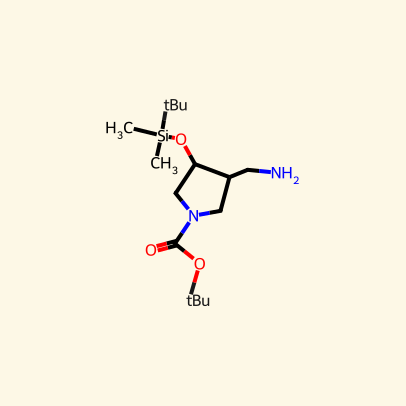 CC(C)(C)OC(=O)N1CC(CN)C(O[Si](C)(C)C(C)(C)C)C1